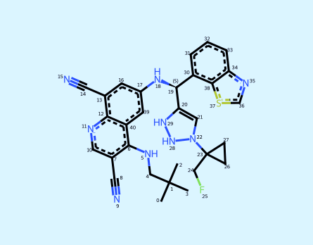 CC(C)(C)CNc1c(C#N)cnc2c(C#N)cc(N[C@H](C3=CN(C4(CF)CC4)NN3)c3cccc4ncsc34)cc12